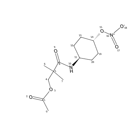 CC(=O)OCC(C)(C)C(=O)N[C@H]1CC[C@H](O[N+](=O)[O-])CC1